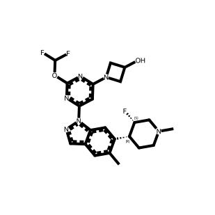 Cc1cc2cnn(-c3cc(N4CC(O)C4)nc(OC(F)F)n3)c2cc1[C@H]1CCN(C)C[C@H]1F